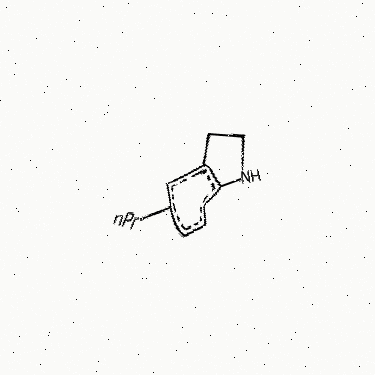 CCCc1ccc2c(c1)CCN2